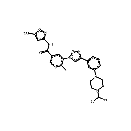 CCC(CC)N1CCN(c2cncc(-c3cn(-c4cc(C(=O)Nc5cc(C(C)(C)C)on5)cnc4C)nn3)c2)CC1